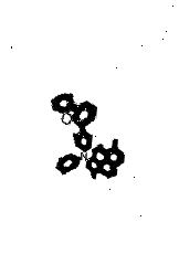 Cc1ccc2ccc3c(C)cc(N(c4ccccc4)c4ccc(-c5cccc6c5oc5ccccc56)cc4)c4ccc1c2c34